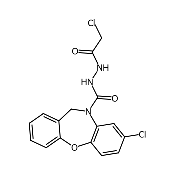 O=C(CCl)NNC(=O)N1Cc2ccccc2Oc2ccc(Cl)cc21